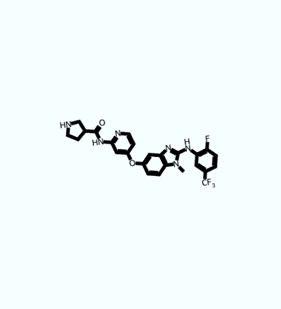 Cn1c(Nc2cc(C(F)(F)F)ccc2F)nc2cc(Oc3ccnc(NC(=O)C4CCNC4)c3)ccc21